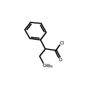 CC(C)COCC(C(=O)Cl)c1ccccc1